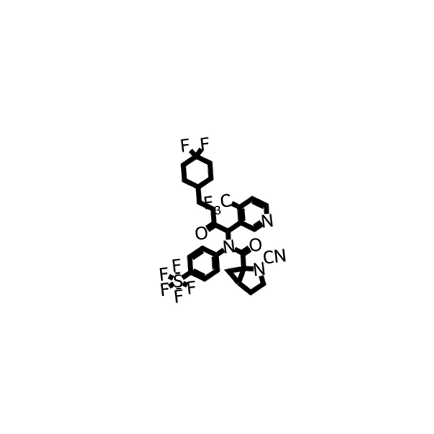 N#CN1CCC2CC21C(=O)N(c1ccc(S(F)(F)(F)(F)F)cc1)C(C(=O)CCC1CCC(F)(F)CC1)c1cnccc1C(F)(F)F